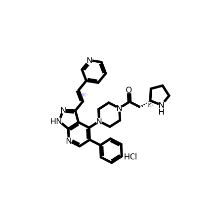 Cl.O=C(C[C@@H]1CCCN1)N1CCN(c2c(-c3ccccc3)cnc3[nH]nc(/C=C/c4cccnc4)c23)CC1